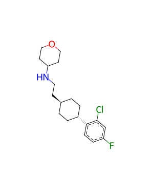 Fc1ccc([C@H]2CC[C@H](CCNC3CCOCC3)CC2)c(Cl)c1